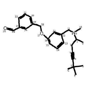 CC(CC#CC(C)(C)C)N(C)Cc1cccc(OCc2cccc(C=O)c2)c1